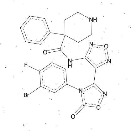 O=C(Nc1nonc1-c1noc(=O)n1-c1ccc(F)c(Br)c1)C1(c2ccccc2)CCNCC1